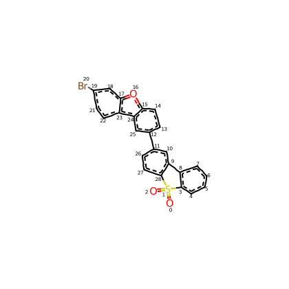 O=S1(=O)c2ccccc2-c2cc(-c3ccc4oc5cc(Br)ccc5c4c3)ccc21